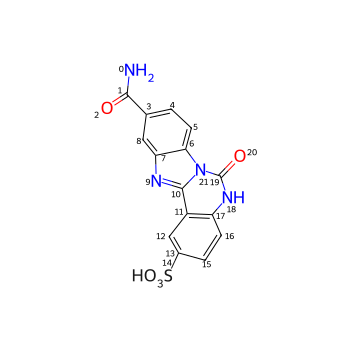 NC(=O)c1ccc2c(c1)nc1c3cc(S(=O)(=O)O)ccc3[nH]c(=O)n21